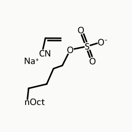 C=CC#N.CCCCCCCCCCCCOS(=O)(=O)[O-].[Na+]